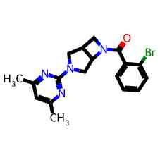 Cc1cc(C)nc(N2CC3CN(C(=O)c4ccccc4Br)C3C2)n1